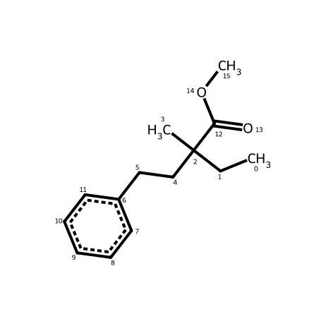 CCC(C)(CCc1ccccc1)C(=O)OC